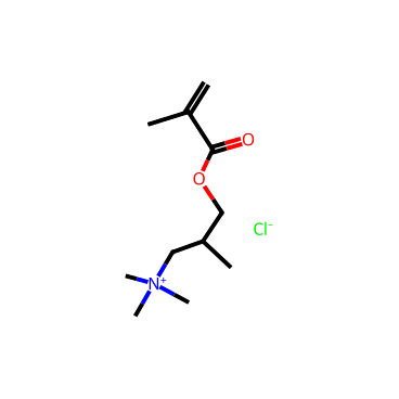 C=C(C)C(=O)OCC(C)C[N+](C)(C)C.[Cl-]